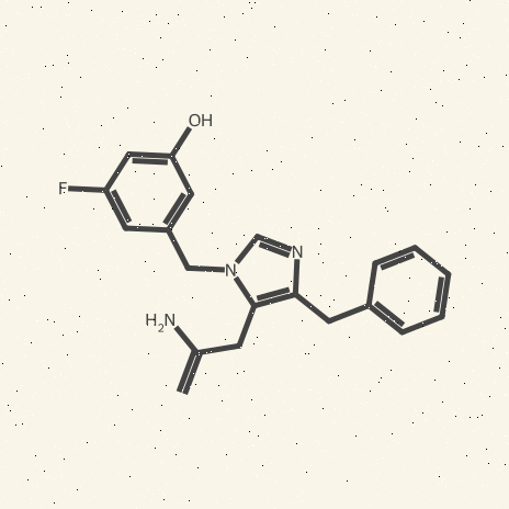 C=C(N)Cc1c(Cc2ccccc2)ncn1Cc1cc(O)cc(F)c1